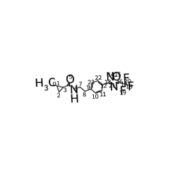 CC1CC1C(=O)NCCc1ccc(-c2noc(C(F)(F)F)n2)cc1